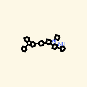 c1ccc(C2c3ccccc3-c3cc(-c4ccc(-c5ccc6c(c5)c5ccc7c8ccccc8[nH]c7c5n6-c5ccccc5)cc4)ccc32)cc1